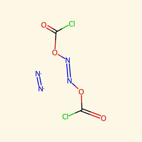 O=C(Cl)ON=NOC(=O)Cl.[N]=[N]